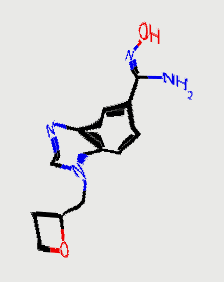 NC(=NO)c1ccc2c(c1)ncn2C[C@@H]1CCO1